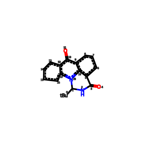 CC(C)(C)C1NC(=O)c2cccc3c(=O)c4ccccc4n1c23